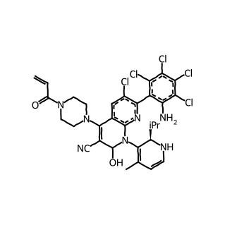 C=CC(=O)N1CCN(C2=C(C#N)C(O)N(C3=C(C)C=CN[C@@H]3C(C)C)c3nc(-c4c(N)c(Cl)c(Cl)c(Cl)c4Cl)c(Cl)cc32)CC1